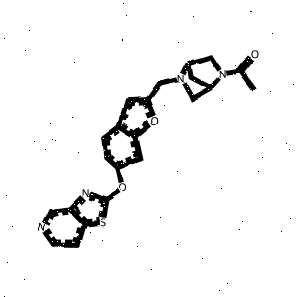 CC(=O)N1CC2CC1CN2Cc1cc2ccc(Oc3nc4cnccc4s3)cc2o1